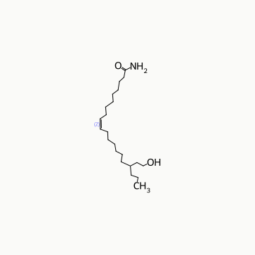 CCCC(CCO)CCCCCC/C=C\CCCCCCCC(N)=O